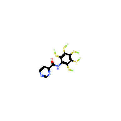 O=C(Nc1c(SF)c(SF)c(SF)c(SF)c1SF)c1ccncn1